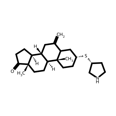 C=C1C[C@@H]2[C@H](CC[C@]3(C)C(=O)CC[C@@H]23)[C@@]2(C)CC[C@@H](S[C@@H]3CCNC3)CC12